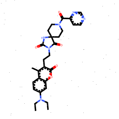 CCN(CC)c1ccc2c(C)c(CCN3C(=O)NC4(CCN(C(=O)c5ccncn5)CC4)C3=O)c(=O)oc2c1